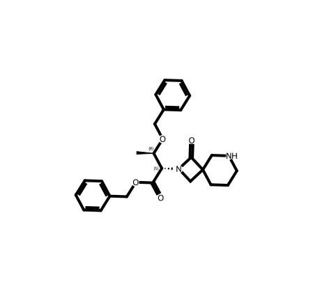 C[C@@H](OCc1ccccc1)[C@@H](C(=O)OCc1ccccc1)N1CC2(CCCNC2)C1=O